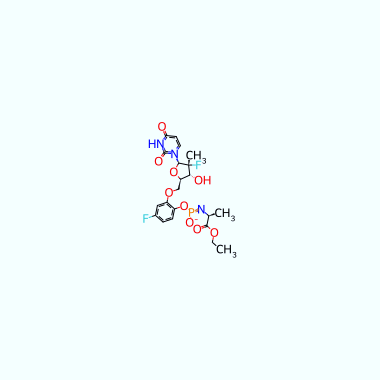 CCOC(=O)[C@H](C)/N=[P+](\[O-])Oc1ccc(F)cc1OC[C@H]1O[C@@H](n2ccc(=O)[nH]c2=O)[C@](C)(F)[C@@H]1O